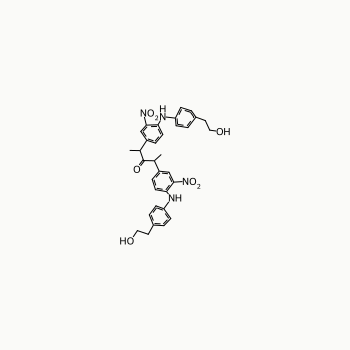 CC(C(=O)C(C)c1ccc(Nc2ccc(CCO)cc2)c([N+](=O)[O-])c1)c1ccc(Nc2ccc(CCO)cc2)c([N+](=O)[O-])c1